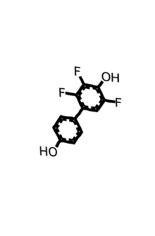 Oc1ccc(-c2cc(F)c(O)c(F)c2F)cc1